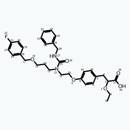 CCOC(Cc1ccc(OCCN(CCCOCc2ccc(F)cc2)C(=O)NCc2ccccc2)cc1)C(=O)O